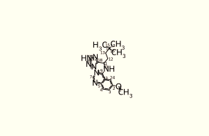 COc1ccc2ncnc(NC(CCC(C)(C)C)c3nn[nH]n3)c2c1